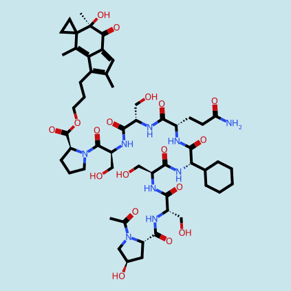 CC(=O)N1C[C@H](O)C[C@H]1C(=O)N[C@@H](CO)C(=O)N[C@@H](CO)C(=O)N[C@H](C(=O)N[C@@H](CCC(N)=O)C(=O)N[C@@H](CO)C(=O)N[C@@H](CO)C(=O)N1CCC[C@H]1C(=O)OCCCC1=C(C)C=C2C(=O)[C@](C)(O)C3(CC3)C(C)=C21)C1CCCCC1